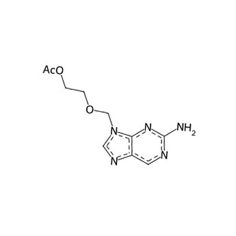 CC(=O)OCCOCn1cnc2cnc(N)nc21